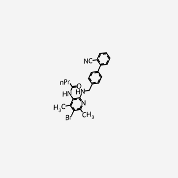 CCCC(=O)Nc1c(NCc2ccc(-c3ccccc3C#N)cc2)nc(C)c(Br)c1C